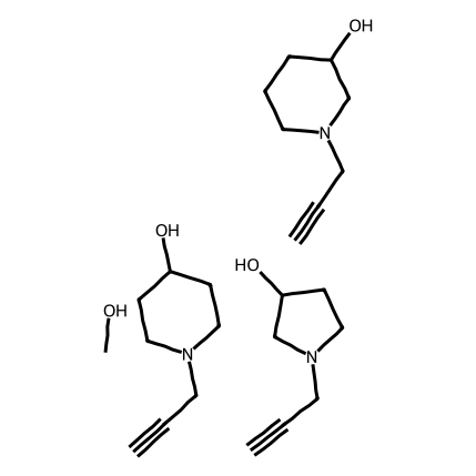 C#CCN1CCC(O)C1.C#CCN1CCC(O)CC1.C#CCN1CCCC(O)C1.CO